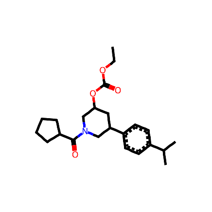 CCOC(=O)OC1CC(c2ccc(C(C)C)cc2)CN(C(=O)C2CCCC2)C1